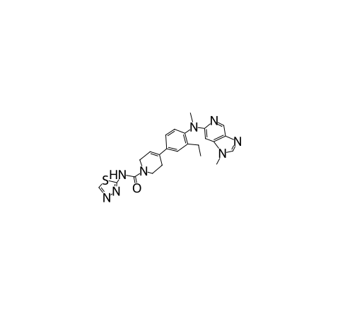 CCc1cc(C2=CCN(C(=O)Nc3nncs3)CC2)ccc1N(C)c1cc2c(cn1)ncn2C